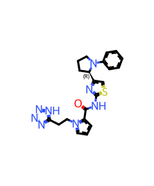 O=C(Nc1nc([C@H]2CCCN2c2ccccc2)cs1)c1cccn1CCc1nnn[nH]1